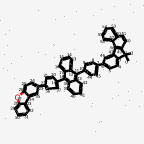 CC1(C)c2ccc(-c3ccc(-c4c5ccccc5c(-c5ccc(-c6ccc7oc8ccccc8c7c6)cc5)c5ccccc45)cc3)cc2-c2c1ccc1ccccc21